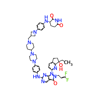 CC[C@@]1(O)CCc2ccc(-n3c4nc(Nc5ccc(N6CCN(C7CCN(CC8CN(c9ccc(NC%10CCC(=O)NC%10=O)cc9)C8)CC7)CC6)cc5)ncc4c(=O)n3CC=C(F)F)nc21